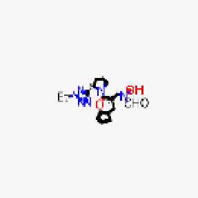 CCn1nnc([C@@H]2CCCN2C(=O)[C@H](CC2CCCC2)CN(O)C=O)n1